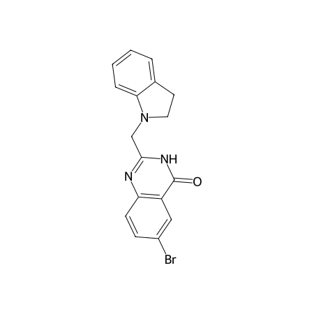 O=c1[nH]c(CN2CCc3ccccc32)nc2ccc(Br)cc12